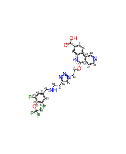 O=C(O)c1ccc2c(c1)nc(OCCn1cc(CCNCc3cc(F)c(OC(F)(F)F)c(F)c3)nn1)c1ccncc12